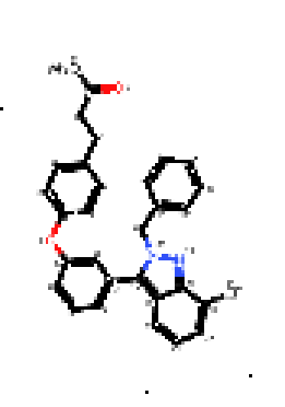 COC(=O)CCc1ccc(Oc2cccc(-c3c4cccc(C(F)(F)F)c4nn3Cc3ccccc3)c2)cc1